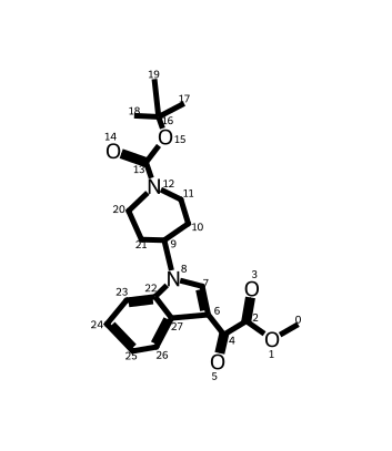 COC(=O)C(=O)c1cn(C2CCN(C(=O)OC(C)(C)C)CC2)c2ccccc12